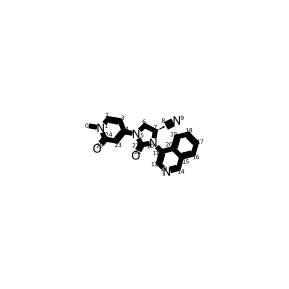 Cn1ccc(N2C[C@H](C#N)N(c3cncc4ccccc34)C2=O)cc1=O